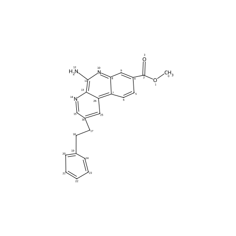 COC(=O)c1ccc2c(c1)nc(N)c1ncc(CCc3ccccc3)cc12